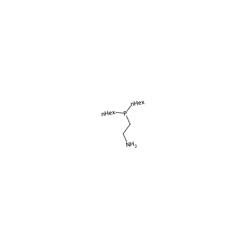 CCCCCCP(CCN)CCCCCC